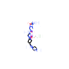 CC(C)(N)C(=O)N1CCN(C(=O)Nc2ccn(-c3ccc(CCNC4CCCNCC4)cc3)c(=O)n2)CC1.Cl